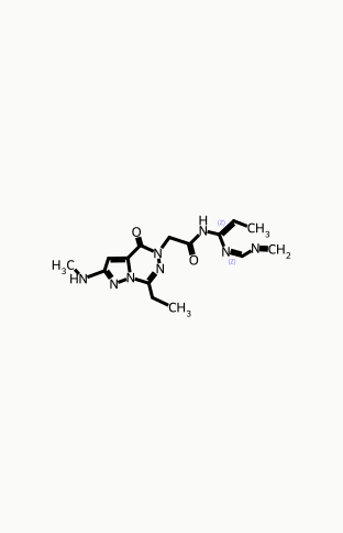 C=N/C=N\C(=C/C)NC(=O)Cn1nc(CC)n2nc(NC)cc2c1=O